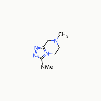 CNc1nnc2n1CCN(C)C2